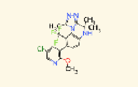 COc1ncc(Cl)cc1-c1ccc2c(c1C(F)(F)F)-n1c(C)nnc1C(C)(C)N2